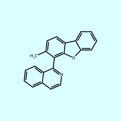 Cc1ccc2c(oc3ccccc32)c1-c1nccc2ccccc12